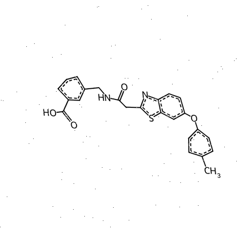 Cc1ccc(Oc2ccc3nc(CC(=O)NCc4cccc(C(=O)O)c4)sc3c2)cc1